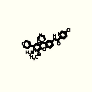 COC1=C2Oc3ccc(NC(=O)c4ccc(Cl)cn4)cc3[C@@]3(CCN=CO3)C2=CC(C2=CCOCC2)N1N